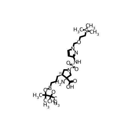 CC1(C)OB(CCC[C@H]2CN(S(=O)(=O)Nc3ccn(COCC[Si](C)(C)C)n3)C[C@@]2(N)C(=O)O)OC1(C)C